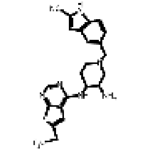 N#Cc1cc2cc(CN3CCC(Nc4ncnc5sc(CC(F)(F)F)cc45)C(N)C3)ccc2[nH]1